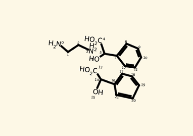 NCCN.O=C(O)C(O)c1ccccc1.O=C(O)C(O)c1ccccc1